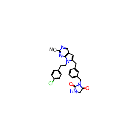 N#Cc1ncc2cc(Cc3cccc(CN4C(=O)CNC4=O)c3)n(CCc3ccc(Cl)cc3)c2n1